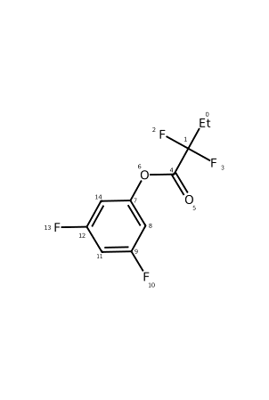 CCC(F)(F)C(=O)Oc1cc(F)cc(F)c1